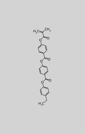 C=C(C)C(=O)Oc1ccc(C(=O)Oc2ccc(C(=O)Oc3ccc(CC)cc3)cc2)cc1